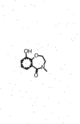 CN1CCOc2c(O)cccc2C1=O